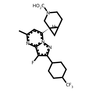 Cc1cc([C@@]23C[C@@H]2CCN(C(=O)O)C3)n2nc(C3CCC(C(F)(F)F)CC3)c(F)c2n1